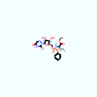 CC(C)OC(=O)[C@H](C)NP(=O)(OC[C@H]1O[C@@H](n2ncc(=O)[nH]c2=O)[C@H](O)[C@@H]1O)Oc1ccccc1